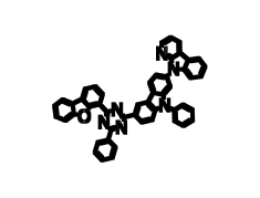 c1ccc(-c2nc(-c3ccc4c(c3)c3ccc(-n5c6ccccc6c6cccnc65)cc3n4-c3ccccc3)nc(-c3cccc4c3oc3ccccc34)n2)cc1